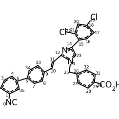 [C-]#[N+]c1cccc(-c2ccc(/C=C/c3nc(-c4ccc(Cl)cc4Cl)cn3Cc3ccc(C(=O)O)cc3)cc2)c1